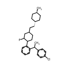 CC(c1ccc(Cl)cc1)c1ccccc1C1CCC(CC[C@H]2CC[C@H](C)CC2)CC1F